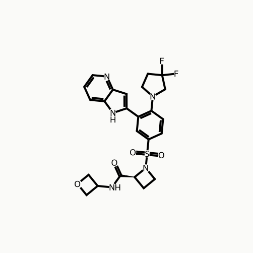 O=C(NC1COC1)[C@@H]1CCN1S(=O)(=O)c1ccc(N2CCC(F)(F)C2)c(-c2cc3ncccc3[nH]2)c1